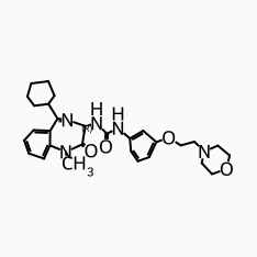 CN1C(=O)[C@H](NC(=O)Nc2cccc(OCCN3CCOCC3)c2)N=C(C2CCCCC2)c2ccccc21